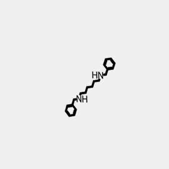 c1ccc(CNCCCCCCNCc2ccccc2)cc1